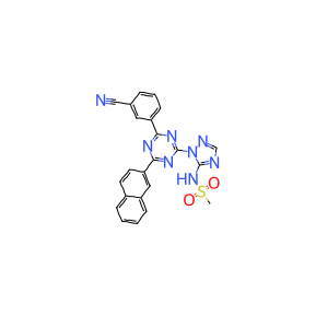 CS(=O)(=O)Nc1ncnn1-c1nc(-c2cccc(C#N)c2)nc(-c2ccc3ccccc3c2)n1